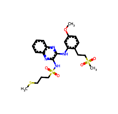 COc1ccc(CCS(C)(=O)=O)c(Nc2nc3ccccc3nc2NS(=O)(=O)CCCSC)c1